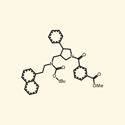 COC(=O)c1cccc(C(=O)N2CC(CN(CCc3cccc4ccccc34)C(=O)OC(C)(C)C)C(c3ccccc3)C2)c1